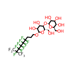 OC[C@@H]1O[C@H](OCCCC(F)(F)C(F)(F)C(F)(F)C(F)(F)C(F)(C(F)(F)F)C(F)(F)F)[C@@H](O)[C@H](O)[C@H]1O[C@H]1O[C@H](CO)[C@@H](O)[C@H](O)[C@H]1O